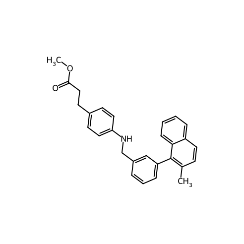 COC(=O)CCc1ccc(NCc2cccc(-c3c(C)ccc4ccccc34)c2)cc1